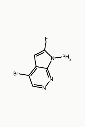 Fc1cc2c(Br)cnnc2n1P